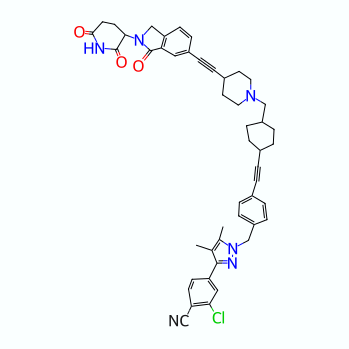 Cc1c(-c2ccc(C#N)c(Cl)c2)nn(Cc2ccc(C#CC3CCC(CN4CCC(C#Cc5ccc6c(c5)C(=O)N(C5CCC(=O)NC5=O)C6)CC4)CC3)cc2)c1C